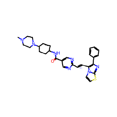 CN1CCN(C2CCC(NC(=O)c3cnc(/C=C/c4c(-c5ccccc5)nc5sccn45)nc3)CC2)CC1